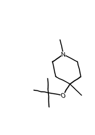 CN1CCC(C)(OC(C)(C)C)CC1